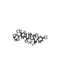 COc1cc(Cl)cnc1N(C)C(=O)CNC(=O)c1ncc(Cl)c([C@@H]2COCCO2)n1